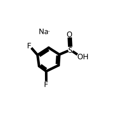 O=S(O)c1cc(F)cc(F)c1.[Na]